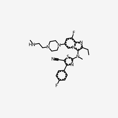 CCc1nc2c(F)cc(N3CCN(CCNC)CC3)cn2c1N(C)c1nc(-c2ccc(F)cc2)c(C#N)s1